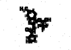 CN1CCc2nc(NC(=O)[C@H]3CCNC3)sc2C1.O=C(O)C(F)(F)F